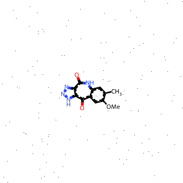 COc1cc2c(=O)c3[nH]nnc3c(=O)[nH]c2cc1C